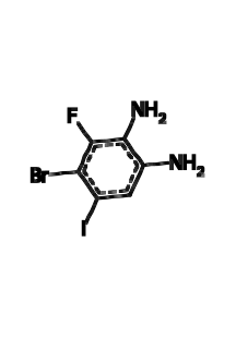 Nc1cc(I)c(Br)c(F)c1N